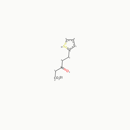 CCOC(=O)CC(=O)CCc1cccs1